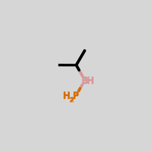 CC(C)BP